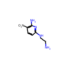 N[CH]CNc1ccc([N+](=O)[O-])c(N)n1